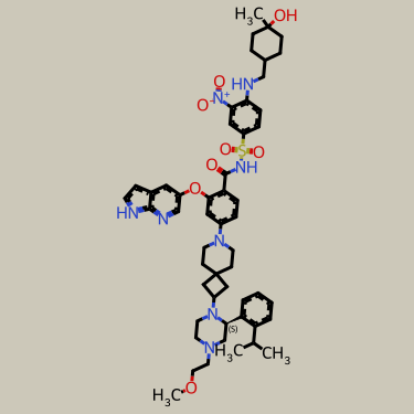 COCCN1CCN(C2CC3(CCN(c4ccc(C(=O)NS(=O)(=O)c5ccc(NCC6CCC(C)(O)CC6)c([N+](=O)[O-])c5)c(Oc5cnc6[nH]ccc6c5)c4)CC3)C2)[C@@H](c2ccccc2C(C)C)C1